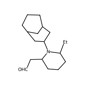 CCC1CCCC(CC=O)N1C1CC2CCCC(C2)C1